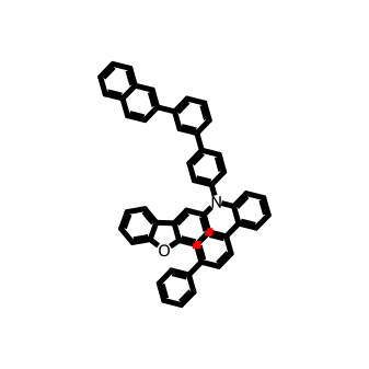 c1ccc(-c2ccc(-c3ccccc3N(c3ccc(-c4cccc(-c5ccc6ccccc6c5)c4)cc3)c3ccc4oc5ccccc5c4c3)cc2)cc1